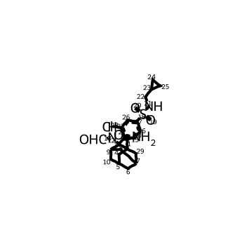 NC(=O)C12CC3CC(CC(C3)C1(NC=O)c1ccc(S(=O)(=O)NCC3CC3)cc1Cl)C2